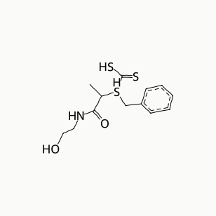 CC(C(=O)NCCO)[SH](Cc1ccccc1)C(=S)S